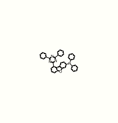 c1ccc(-c2nc(-c3ccccc3)nc(-c3cccc4oc5cc(N(c6ccccc6)c6ccccc6)ccc5c34)n2)cc1